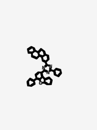 c1ccc(-c2nc(-c3ccc4ccc5c6ccccc6ccc5c4c3)nc(-c3ccc(-c4ccccc4)c4oc5ccccc5c34)n2)cc1